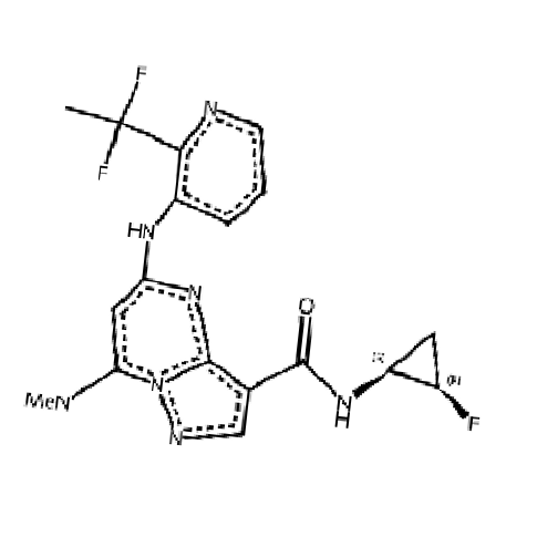 CNc1cc(Nc2cccnc2C(C)(F)F)nc2c(C(=O)N[C@H]3C[C@H]3F)cnn12